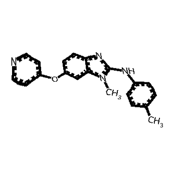 Cc1ccc(Nc2nc3ccc(Oc4ccncc4)cc3n2C)cc1